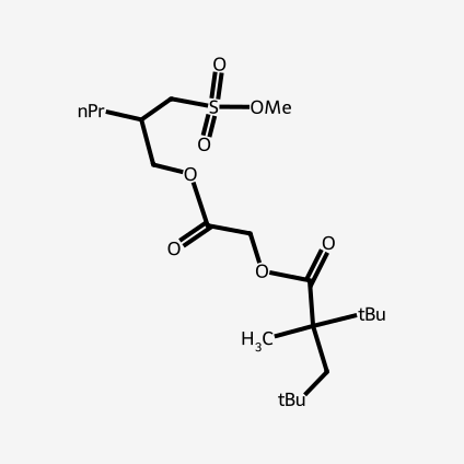 CCCC(COC(=O)COC(=O)C(C)(CC(C)(C)C)C(C)(C)C)CS(=O)(=O)OC